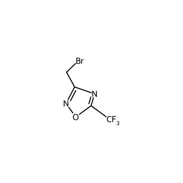 FC(F)(F)c1nc(CBr)no1